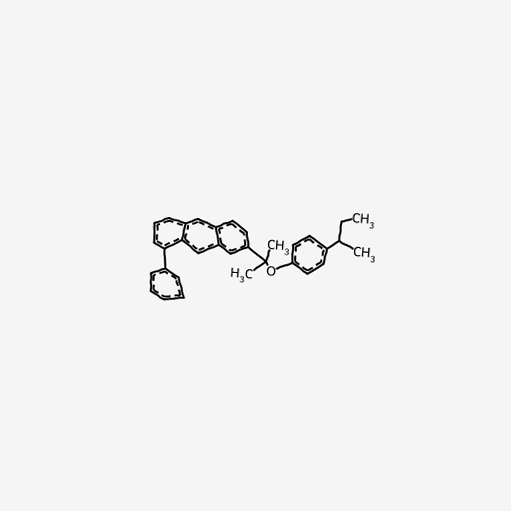 CCC(C)c1ccc(OC(C)(C)c2ccc3cc4cccc(-c5ccccc5)c4cc3c2)cc1